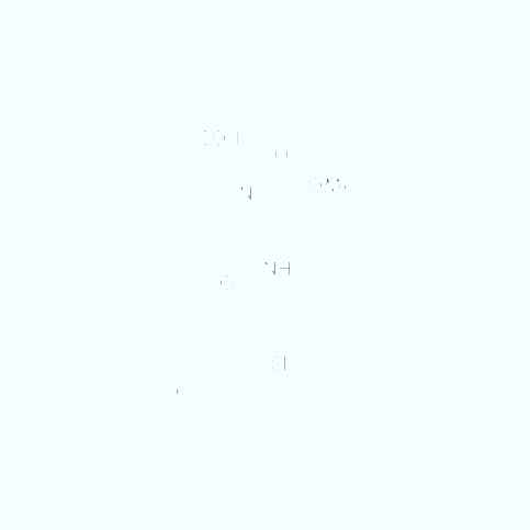 COC(=O)C1CC(NC(=O)Cc2ccc(Cl)cc2Cl)CCN1CCC(=O)O